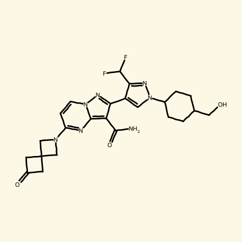 NC(=O)c1c(-c2cn(C3CCC(CO)CC3)nc2C(F)F)nn2ccc(N3CC4(CC(=O)C4)C3)nc12